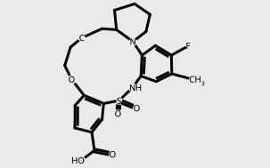 Cc1cc2c(cc1F)N1CCCCC1CCCCOc1ccc(C(=O)O)cc1S(=O)(=O)N2